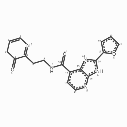 O=C1CC=CN=C1CCNC(=O)c1ccnc2[nH]c(-c3ccco3)nc12